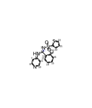 O=S(=O)(/N=C(/Nc1ccncc1)c1ccccc1Cl)c1cccs1